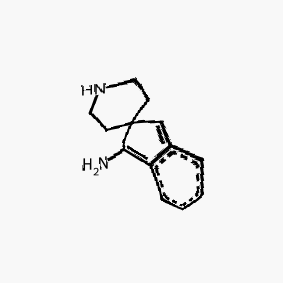 NC1=c2ccccc2=CC12CCNCC2